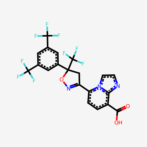 O=C(O)c1ccc(C2=NOC(c3cc(C(F)(F)F)cc(C(F)(F)F)c3)(C(F)(F)F)C2)n2ccnc12